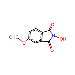 O=COc1ccc2c(c1)C(=O)N(O)C2=O